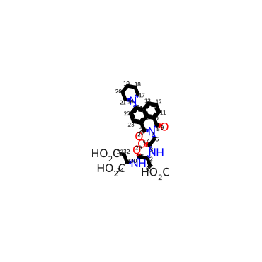 O=C(O)CC(NC(=O)CN1C(=O)c2cccc3c(N4CCCCC4)ccc(c23)C1=O)C(=O)N[C@@H](CC(=O)O)C(=O)O